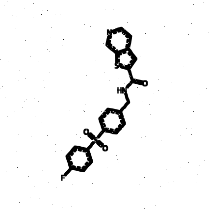 O=C(NCc1ccc(S(=O)(=O)c2ccc(F)cc2)cc1)c1cc2ccncc2s1